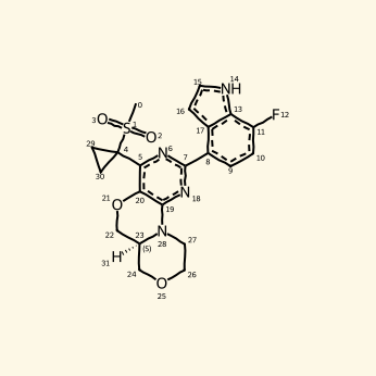 CS(=O)(=O)C1(c2nc(-c3ccc(F)c4[nH]ccc34)nc3c2OC[C@@H]2COCCN32)CC1